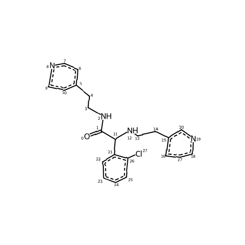 O=C(NCCc1ccncc1)C(NCCc1cccnc1)c1ccccc1Cl